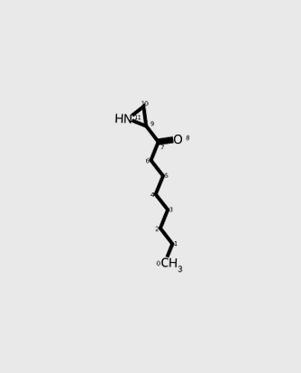 CCCCCCCC(=O)C1CN1